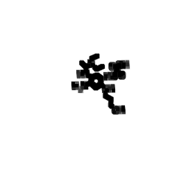 CCN(CC)C(C)Nc1ccc(NCCCO)cc1N.O=S(=O)(O)O